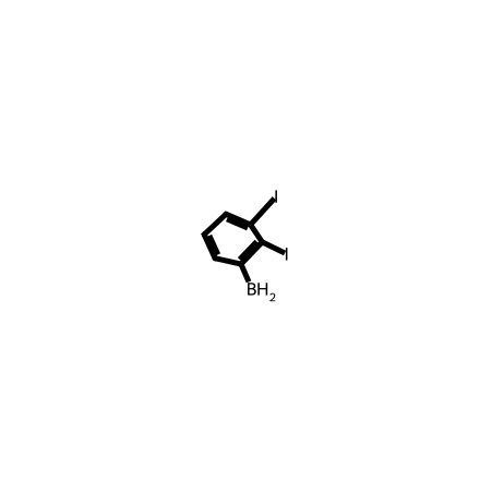 Bc1cccc(I)c1I